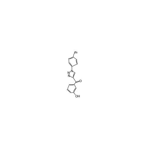 CC(C)c1ccc(-n2cc(C(=O)c3cccc(O)c3)nn2)cc1